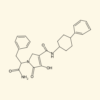 NC(=O)C(Cc1ccccc1)N1CC(C(=O)NC2CCC(c3ccccc3)CC2)=C(O)C1=O